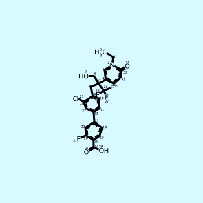 CCn1cc(C(CO)(Cc2ccc(-c3ccc(C(=O)O)c(F)c3)cc2Cl)C(F)(F)F)ccc1=O